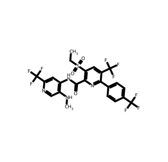 CCS(=O)(=O)c1cc(C(F)(F)F)c(-c2ccc(C(F)(F)F)cc2)nc1C(=O)Nc1cc(C(F)(F)F)ncc1NC